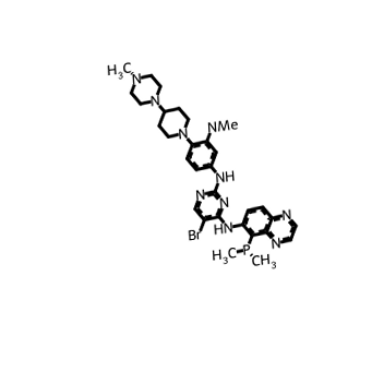 CNc1cc(Nc2ncc(Br)c(Nc3ccc4nccnc4c3P(C)C)n2)ccc1N1CCC(N2CCN(C)CC2)CC1